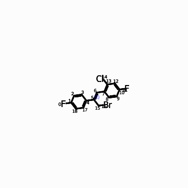 Fc1ccc(/C(=C/c2ccc(F)cc2Cl)CBr)cc1